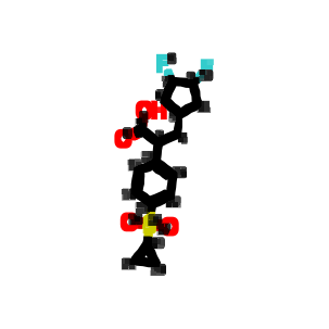 O=C(O)C(C[C@H]1C[C@@H](F)[C@@H](F)C1)c1ccc(S(=O)(=O)C2CC2)cc1